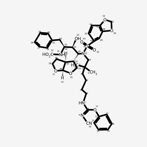 CC(C)(CCCCNC(=NC#N)Oc1ccccc1)CN(C([C@H](O)[C@H](Cc1ccccc1)NC(=O)O)[C@@H]1CO[C@H]2OCC[C@H]21)S(=O)(=O)c1ccc2c(c1)OCO2